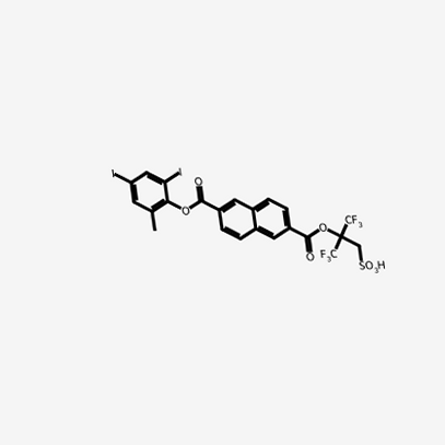 Cc1cc(I)cc(I)c1OC(=O)c1ccc2cc(C(=O)OC(CS(=O)(=O)O)(C(F)(F)F)C(F)(F)F)ccc2c1